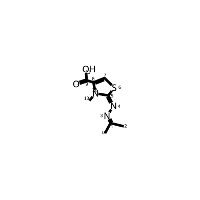 CC(C)=NN=c1scc(C(=O)O)n1C